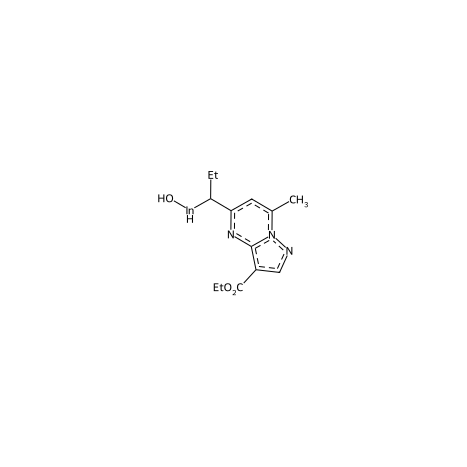 CCOC(=O)c1cnn2c(C)cc([CH](CC)[InH][OH])nc12